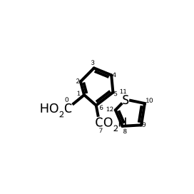 O=C(O)c1ccccc1C(=O)O.c1ccsc1